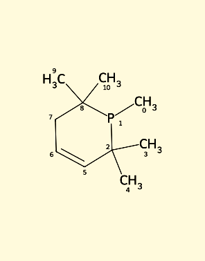 CP1C(C)(C)C=CCC1(C)C